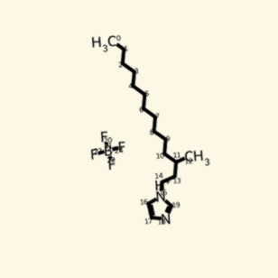 CCCCCCCCCCCC(C)CC[NH+]1C=CN=C1.F[B-](F)(F)F